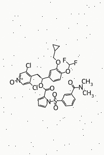 CN(C)C(=O)c1cccc(S(=O)(=O)n2cccc2C(=O)O[C@@H](Cc2c(Cl)c[n+]([O-])cc2Cl)c2ccc(OC(F)F)c(OCC3CC3)c2)c1